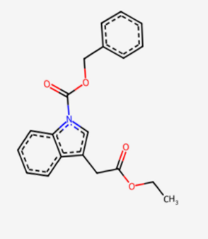 CCOC(=O)Cc1cn(C(=O)OCc2ccccc2)c2ccccc12